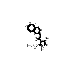 O=C(CC1CCC2=C(C=CC=CC2)C1)C1C(=S)CN[C@@H]1C(=O)O